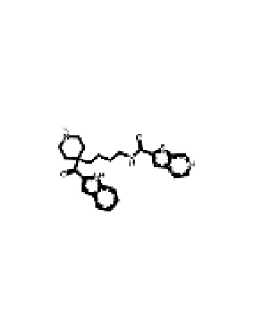 O=C(NCCCCC1(C(=O)c2cc3ccccc3[nH]2)CCNCC1)c1cc2ccncc2s1